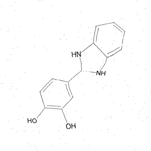 Oc1ccc(C2Nc3ccccc3N2)cc1O